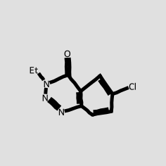 CCn1nnc2ccc(Cl)cc2c1=O